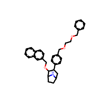 c1ccc(COCCOCc2ccc(C3CC4CCC(N4)C3OCc3ccc4ccccc4c3)cc2)cc1